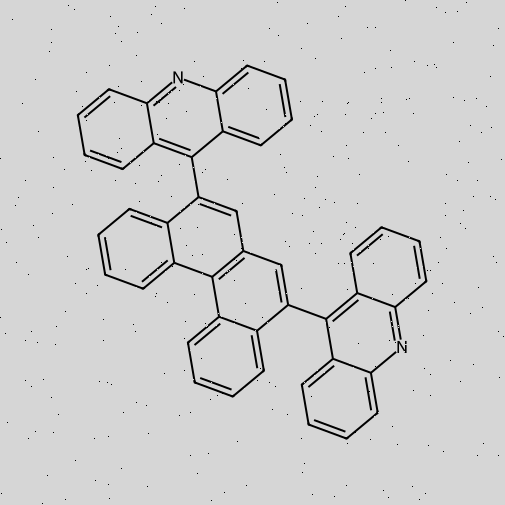 c1ccc2c(-c3cc4cc(-c5c6ccccc6nc6ccccc56)c5ccccc5c4c4ccccc34)c3ccccc3nc2c1